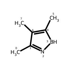 CC1=NBC(C)=C1C